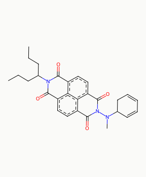 CCCC(CCC)N1C(=O)c2ccc3c4c(ccc(c24)C1=O)C(=O)N(N(C)C1C=CC=CC1)C3=O